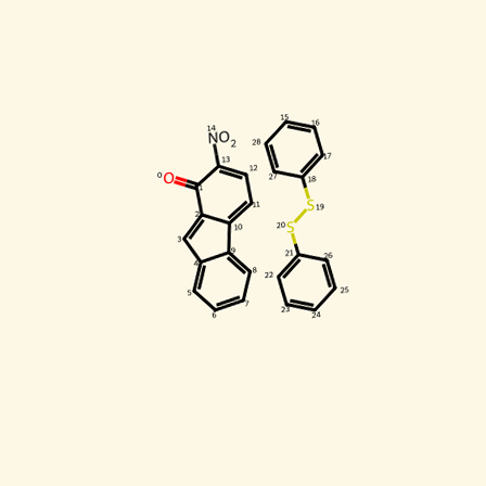 O=C1C2=Cc3ccccc3C2=CC=C1[N+](=O)[O-].c1ccc(SSc2ccccc2)cc1